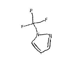 FC(F)(F)n1c[c]cn1